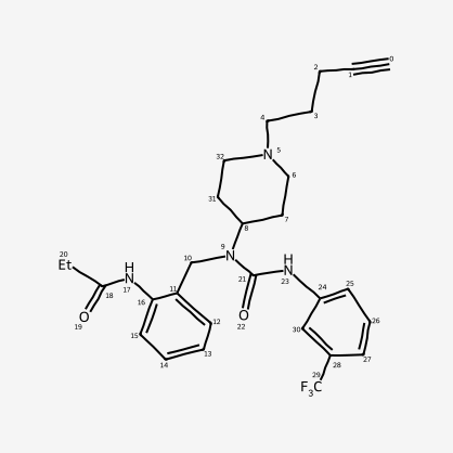 C#CCCCN1CCC(N(Cc2ccccc2NC(=O)CC)C(=O)Nc2cccc(C(F)(F)F)c2)CC1